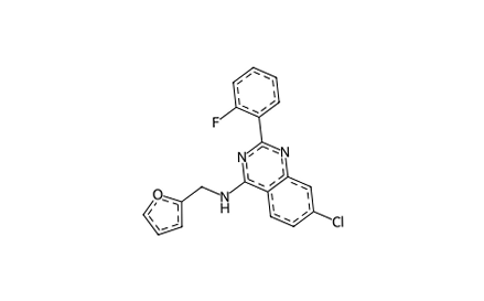 Fc1ccccc1-c1nc(NCc2ccco2)c2ccc(Cl)cc2n1